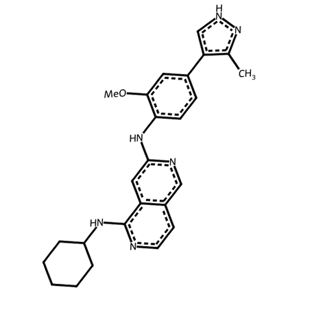 COc1cc(-c2c[nH]nc2C)ccc1Nc1cc2c(NC3CCCCC3)nccc2cn1